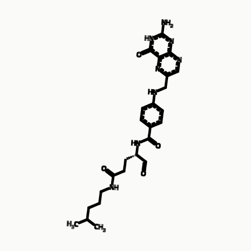 CC(C)CCCNC(=O)CC[C@@H](C=O)NC(=O)c1ccc(NCc2cnc3nc(N)[nH]c(=O)c3n2)cc1